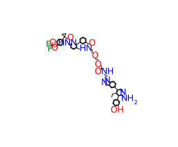 CCc1c(-c2ccc3c(cnn3CCNC(=O)COCCOCCNC(=O)c3cccc(-c4nc(NC(=O)C5(c6ccc7c(c6)OC(F)(F)O7)CC5)ccc4C)c3)c2)cnc(N)c1-c1ccc(O)cc1